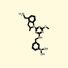 COc1nc(NCc2cccc(B(O)O)c2)nc(N2c3cccc(CN)c3CC2C)n1